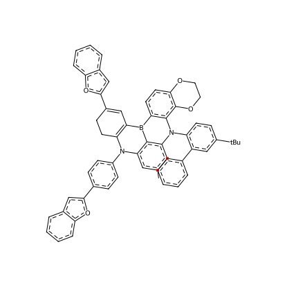 Cc1cc2c3c(c1)N(c1ccc(C(C)(C)C)cc1-c1ccccc1)c1c(ccc4c1OCCO4)B3C1=C(CCC(c3cc4ccccc4o3)=C1)N2c1ccc(-c2cc3ccccc3o2)cc1